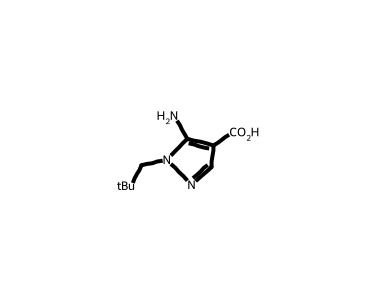 CC(C)(C)Cn1ncc(C(=O)O)c1N